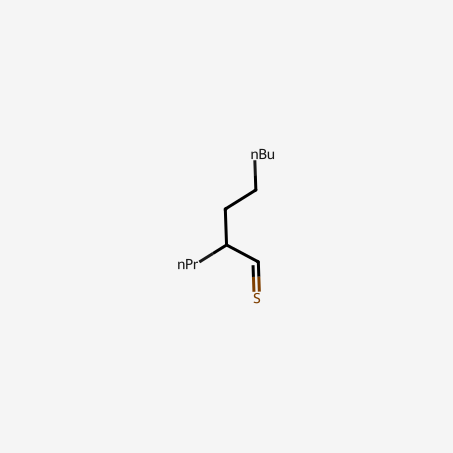 CCCCCCC(C=S)CCC